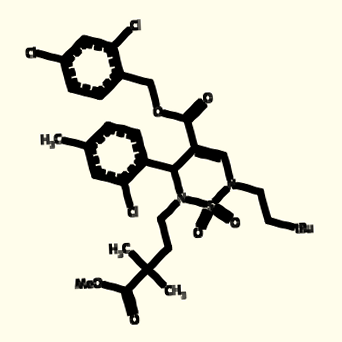 COC(=O)C(C)(C)CCN1C(c2ccc(C)cc2Cl)C(C(=O)OCc2ccc(Cl)cc2Cl)=CN(CCC(C)(C)C)S1(=O)=O